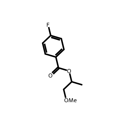 COCC(C)OC(=O)c1ccc(F)cc1